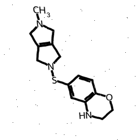 CN1CC2=C(C1)CN(Sc1ccc3c(c1)NCCO3)C2